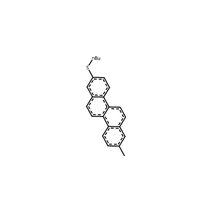 CCCCSc1ccc2c(ccc3c4ccc(C)cc4ccc23)c1